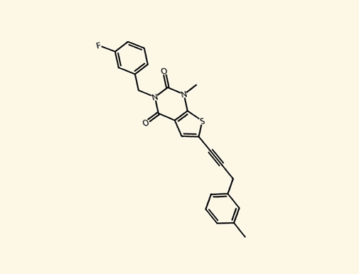 Cc1cccc(CC#Cc2cc3c(=O)n(Cc4cccc(F)c4)c(=O)n(C)c3s2)c1